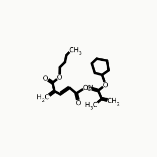 C=C(C)C(=O)OC1CCCCC1.C=C(C=CC(=O)O)C(=O)OCCCC